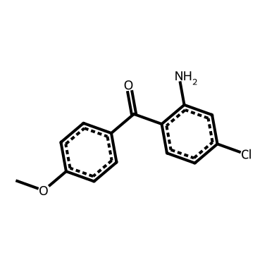 COc1ccc(C(=O)c2ccc(Cl)cc2N)cc1